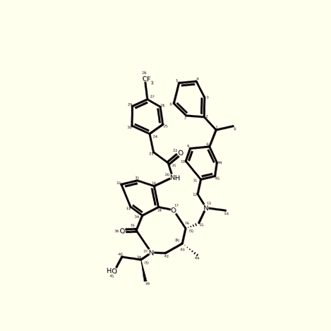 CC(c1ccccc1)c1ccc(CN(C)C[C@H]2Oc3c(NC(=O)Cc4ccc(C(F)(F)F)cc4)cccc3C(=O)N([C@@H](C)CO)C[C@H]2C)cc1